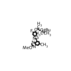 COc1cnc2c(-c3nc4cc(F)c(O[C@@H](C)CO[Si](C)(C)C(C)(C)C)cc4s3)cc(C)cc2n1